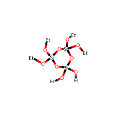 CCO[Si]1(OCC)O[Si](OCC)(OCC)O[Si](OCC)(OCC)O1